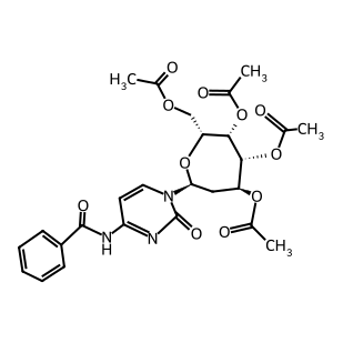 CC(=O)OC[C@H]1O[C@H](n2ccc(NC(=O)c3ccccc3)nc2=O)C[C@H](OC(C)=O)[C@@H](OC(C)=O)[C@H]1OC(C)=O